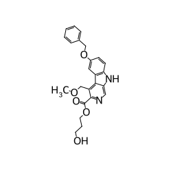 COCc1c(C(=O)OCCCO)ncc2[nH]c3ccc(OCc4ccccc4)cc3c12